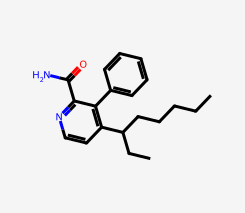 CCCCCC(CC)c1ccnc(C(N)=O)c1-c1ccccc1